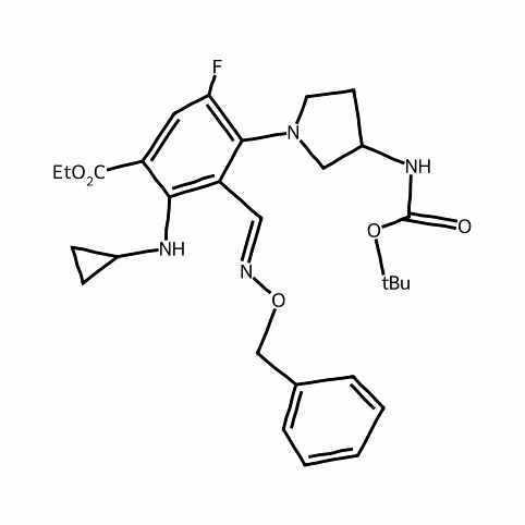 CCOC(=O)c1cc(F)c(N2CCC(NC(=O)OC(C)(C)C)C2)c(C=NOCc2ccccc2)c1NC1CC1